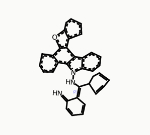 N=C1C=CC=C/C1=C(/Nn1c2ccccc2c2c3c4ccccc4oc3c3ccccc3c21)C1C=CC=CC1